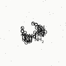 CN[C@@H](C)C(=O)N[C@H](C(=O)N1C[C@@H](NC(=O)c2cc(N)cc(C(=O)N[C@H]3C[C@@H](C(=O)N[C@H](C)c4ccc(OC)cc4)N(C(=O)[C@@H](NC(=O)[C@H](C)NC)C(C)(C)C)C3)c2)C[C@H]1C(=O)N[C@H](C)c1ccc(OC)cc1)C(C)(C)C